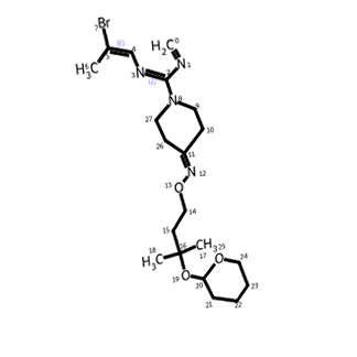 C=N/C(=N\C=C(/C)Br)N1CCC(=NOCCC(C)(C)OC2CCCCO2)CC1